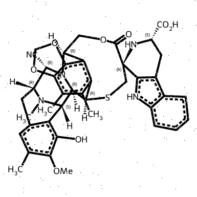 COc1c(C)cc2c(c1O)[C@H]1[C@@H]3[C@@H]4SC[C@]5(N[C@H](C(=O)O)Cc6c5[nH]c5ccccc65)C(=O)OC[C@@H](c5c6c(c(C)c(C)c54)OCO6)N3[C@@H](C#N)[C@@H](C2)N1C